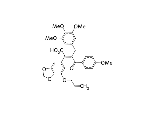 C=CCOc1cc(/C(C(=O)O)=C(/Cc2cc(OC)c(OC)c(OC)c2)C(=O)c2ccc(OC)cc2)cc2c1OCO2